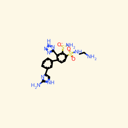 NCCNS(=O)(=O)c1ccc(-c2cccc(-c3c[nH]c(N)n3)c2)c(-c2nn[nH]n2)c1[S+](N)[O-]